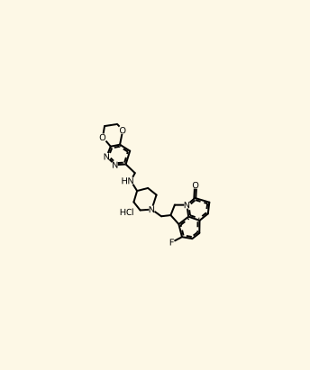 Cl.O=c1ccc2ccc(F)c3c2n1CC3CN1CCC(NCc2cc3c(nn2)OCCO3)CC1